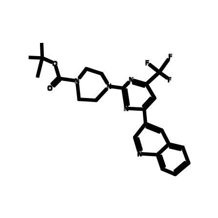 CC(C)(C)OC(=O)N1CCN(c2nc(-c3cnc4ccccc4c3)cc(C(F)(F)F)n2)CC1